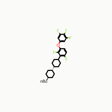 CCCC[C@H]1CC[C@H](C2CCC(c3c(F)c[c]c(Oc4cc(F)c(F)c(F)c4)c3F)CC2)CC1